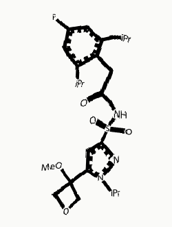 COC1(c2cc(S(=O)(=O)NC(=O)Cc3c(C(C)C)cc(F)cc3C(C)C)nn2C(C)C)COC1